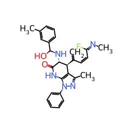 C=C(/C=C\C(F)=N/C)[C@H]1c2c(C)nn(-c3ccccc3)c2NC(=O)[C@@H]1NC(O)c1cccc(C)c1